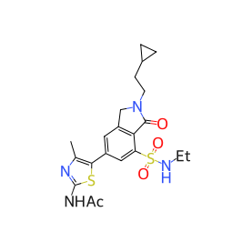 CCNS(=O)(=O)c1cc(-c2sc(NC(C)=O)nc2C)cc2c1C(=O)N(CCC1CC1)C2